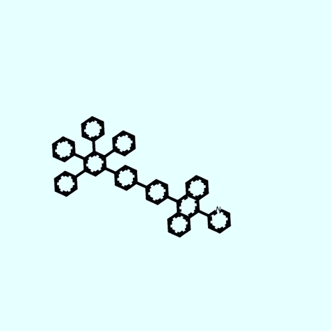 c1ccc(-c2cc(-c3ccc(-c4ccc(-c5c6ccccc6c(-c6ccccn6)c6ccccc56)cc4)cc3)c(-c3ccccc3)c(-c3ccccc3)c2-c2ccccc2)cc1